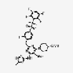 COc1c(Nc2cc(C)[nH]n2)nc(Sc2ccc(S(=O)(=O)C(C)(C)c3c(F)c(F)cc(F)c3F)cc2F)nc1N1CCC(OC)CC1